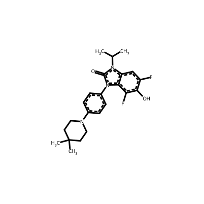 CC(C)n1c(=O)n(-c2ccc(N3CCC(C)(C)CC3)cc2)c2c(F)c(O)c(F)cc21